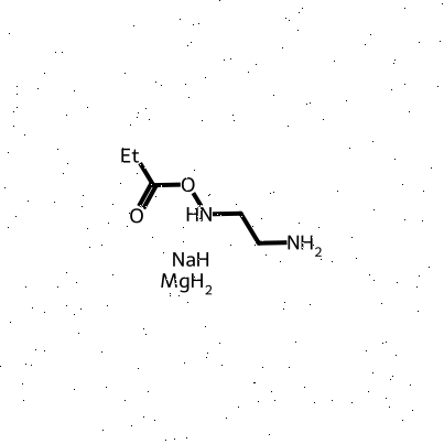 CCC(=O)ONCCN.[MgH2].[NaH]